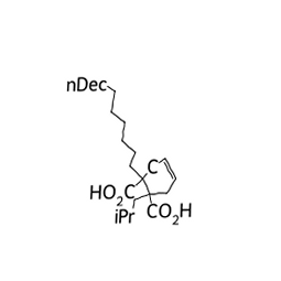 CCCCCCCCCCCCCCCCC1(C(=O)O)CC=CCC1(CC(C)C)C(=O)O